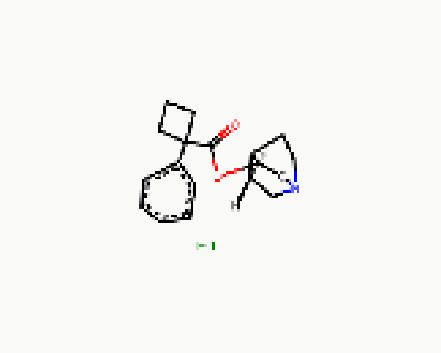 Cl.O=C(O[C@H]1CN2CCC1CC2)C1(c2ccccc2)CCC1